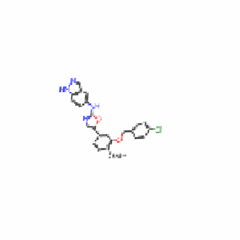 COc1ccc(-c2cnc(Nc3ccc4[nH]ncc4c3)o2)cc1OCc1ccc(Cl)cc1